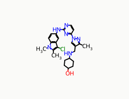 Cc1nn(-c2ccnc(Nc3ccc4c(c3)c(Cl)c(C)n4C)n2)cc1CNC1CCC(O)CC1